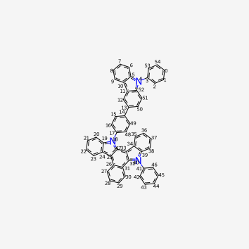 c1ccc(-n2c3ccccc3c3cc(-c4ccc(-n5c6ccccc6c6c7ccccc7c7c(c8ccccc8n7-c7ccccc7)c65)cc4)ccc32)cc1